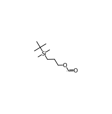 CC(C)(C)[Si](C)(C)CCCO[C]=O